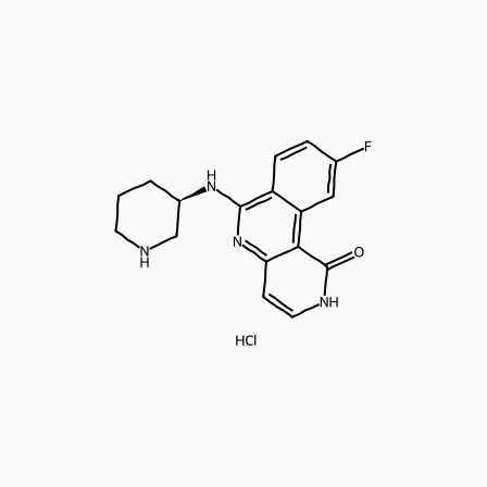 Cl.O=c1[nH]ccc2nc(N[C@@H]3CCCNC3)c3ccc(F)cc3c12